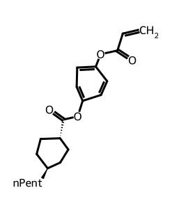 C=CC(=O)Oc1ccc(OC(=O)[C@H]2CC[C@H](CCCCC)CC2)cc1